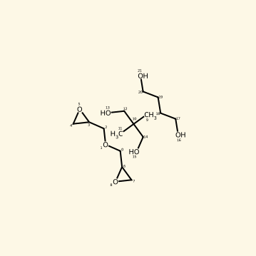 C(OCC1CO1)C1CO1.CC(C)(CO)CO.OCCCCO